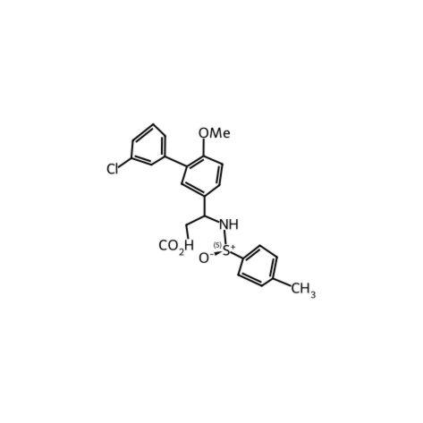 COc1ccc(C(CC(=O)O)N[S@+]([O-])c2ccc(C)cc2)cc1-c1cccc(Cl)c1